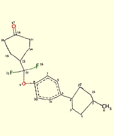 CC1CCC(c2ccc(OC(F)(F)C3CCC(=O)CC3)cc2)CC1